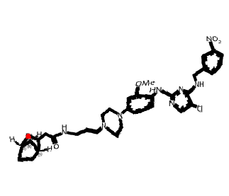 CC[C@@H]1[C@@H]2CC[C@H]1C(CC(=O)NCCCN1CCN(c3ccc(Nc4ncc(Cl)c(NCc5cccc([N+](=O)[O-])c5)n4)c(OC)c3)CC1)C2